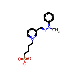 CN(/N=C/c1ccc[n+](CCCCS(=O)(=O)[O-])c1)c1ccccc1